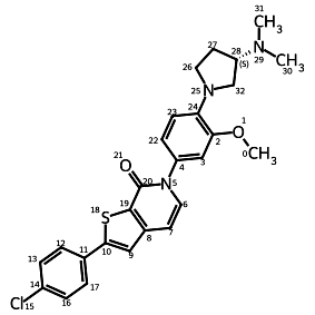 COc1cc(-n2ccc3cc(-c4ccc(Cl)cc4)sc3c2=O)ccc1N1CC[C@H](N(C)C)C1